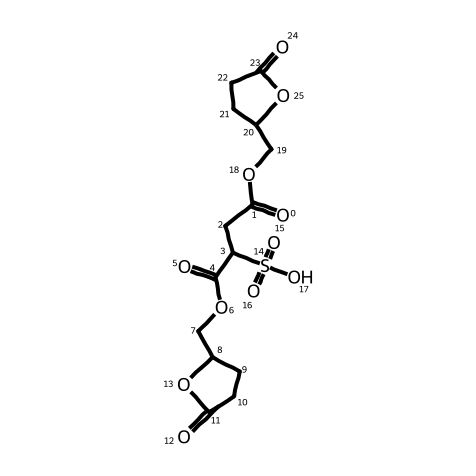 O=C(CC(C(=O)OCC1CCC(=O)O1)S(=O)(=O)O)OCC1CCC(=O)O1